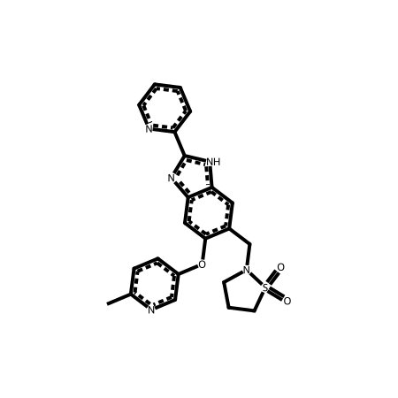 Cc1ccc(Oc2cc3nc(-c4ccccn4)[nH]c3cc2CN2CCCS2(=O)=O)cn1